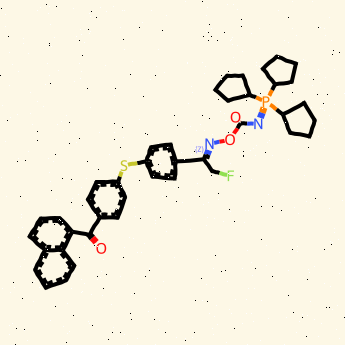 O=C(N=P(C1CCCC1)(C1CCCC1)C1CCCC1)O/N=C(\CF)c1ccc(Sc2ccc(C(=O)c3cccc4ccccc34)cc2)cc1